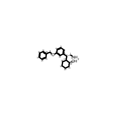 NC[C@@H](c1cccc(OCc2ccccc2)c1)C1CCCC[C@@H]1O